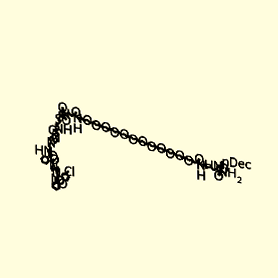 CCCCCCCCCCCC(=O)NC(CCCCNC(=O)CCOCCOCCOCCOCCOCCOCCOCCOCCOCCOCCOCCOCCNC(=O)CCN1C(=O)CC(SCCNC(=O)CN2CCN(CCNC(=O)[C@@H]3CCCC[C@@H]3C(=O)N3CCN(C4=Nc5ccccc5Oc5ccc(Cl)cc54)CC3)CC2)C1=O)C(N)=O